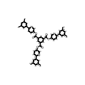 Cc1cc(C)cc(-c2ccc(OC(=O)c3cc(C(=O)Oc4ccc(-c5cc(C)cc(C)c5)nc4)cc(C(=O)Oc4ccc(-c5cc(C)cc(C)c5)nc4)c3)cn2)c1